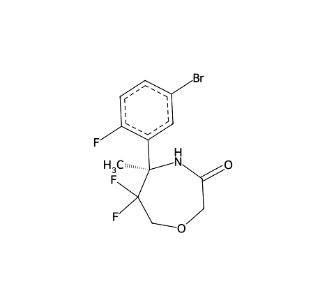 C[C@]1(c2cc(Br)ccc2F)NC(=O)COCC1(F)F